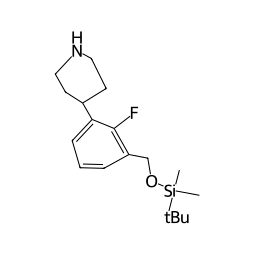 CC(C)(C)[Si](C)(C)OCc1cccc(C2CCNCC2)c1F